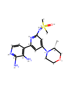 C[C@@H]1COCCN1c1cc(N=S(C)(C)=O)nc(-c2ccnc(N)c2N)c1